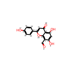 O=Cc1c(O)cc(O)c2c(=O)cc(-c3ccc(O)cc3)oc12